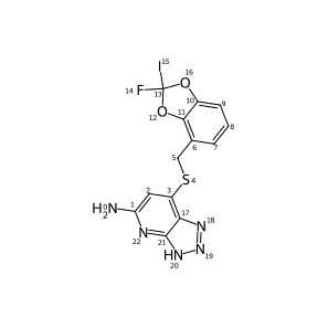 Nc1cc(SCc2cccc3c2OC(F)(I)O3)c2nn[nH]c2n1